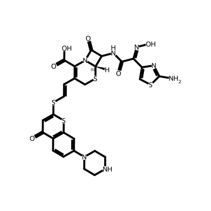 Nc1nc(C(=NO)C(=O)NC2C(=O)N3C(C(=O)O)=C(C=CSc4cc(=O)c5ccc(N6CCNCC6)cc5s4)CS[C@@H]23)cs1